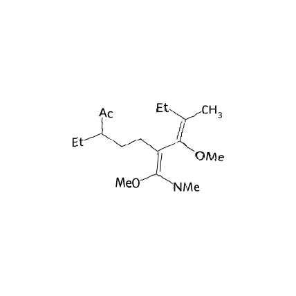 CC/C(C)=C(OC)\C(CCC(CC)C(C)=O)=C(/NC)OC